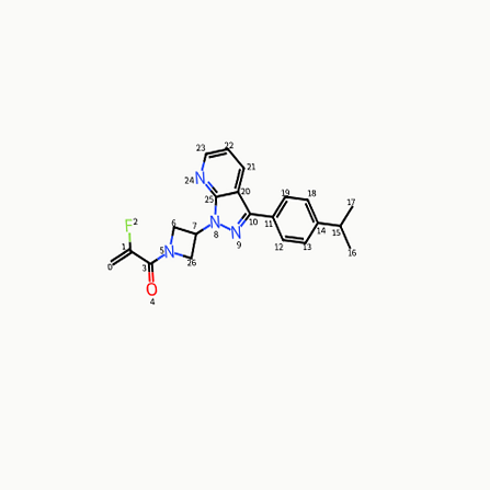 C=C(F)C(=O)N1CC(n2nc(-c3ccc(C(C)C)cc3)c3cccnc32)C1